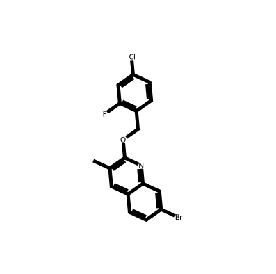 Cc1cc2ccc(Br)cc2nc1OCc1ccc(Cl)cc1F